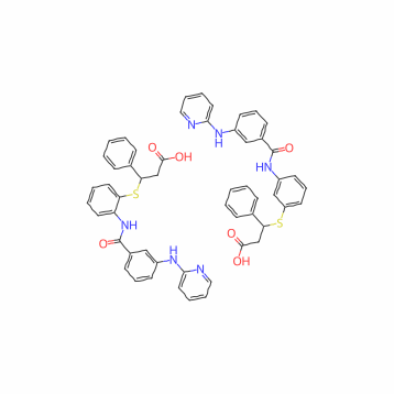 O=C(O)CC(Sc1cccc(NC(=O)c2cccc(Nc3ccccn3)c2)c1)c1ccccc1.O=C(O)CC(Sc1ccccc1NC(=O)c1cccc(Nc2ccccn2)c1)c1ccccc1